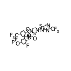 O=C(NCc1ccc(OC(F)F)cc1F)[C@H]1CN(c2nc3nc(C(F)(F)F)ncc3s2)CCN1S(=O)(=O)c1ccc(C(F)(F)F)cc1